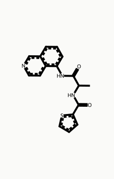 CC(NC(=O)c1cccs1)C(=O)Nc1cccc2cnccc12